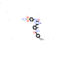 Cc1c(NC(=O)c2ccc(C(C)(C)C)cc2)cccc1-c1cn(C)c(=O)c(Nc2ccc(S(N)(=O)=O)cc2)n1